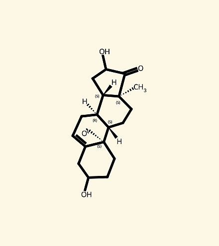 C[C@]12CC[C@H]3[C@@H](CC=C4CC(O)CC[C@@]43C=O)[C@@H]1CC(O)C2=O